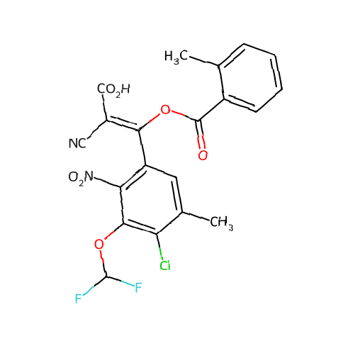 Cc1ccccc1C(=O)OC(=C(C#N)C(=O)O)c1cc(C)c(Cl)c(OC(F)F)c1[N+](=O)[O-]